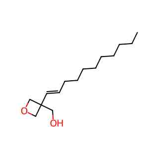 CCCCCCCCCC=CC1(CO)COC1